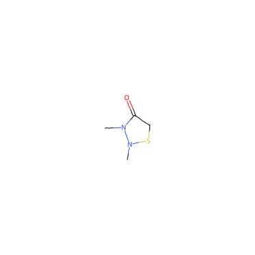 CN1SCC(=O)N1C